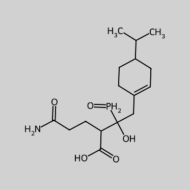 CC(C)C1CC=C(CC(O)([PH2]=O)C(CCC(N)=O)C(=O)O)CC1